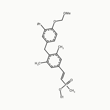 CCOP(C)(=O)/C=C/c1cc(C)c(Cc2ccc(OCOC)c(C(C)C)c2)c(C)c1